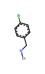 CC[N]Cc1ccc(Br)cc1